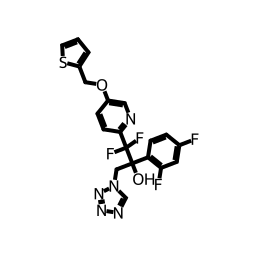 OC(Cn1cnnn1)(c1ccc(F)cc1F)C(F)(F)c1ccc(OCc2cccs2)cn1